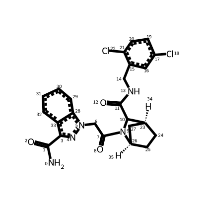 NC(=O)c1nn(CC(=O)N2C(C(=O)NCc3cc(Cl)ccc3Cl)[C@H]3CC[C@@H]2C3)c2ccccc12